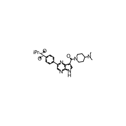 CC(C)S(=O)(=O)c1ccc(-c2cnc3[nH]cc(C(=O)N4CCC(N(C)C)CC4)c3n2)cc1